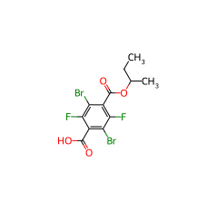 CCC(C)OC(=O)c1c(F)c(Br)c(C(=O)O)c(F)c1Br